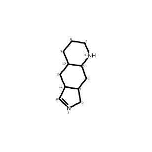 C1=NCC2CC3NCCCC3CC12